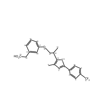 Cc1nc(-c2ccc(C(F)(F)F)cc2)sc1C(C)COc1cccc(CC(=O)O)c1